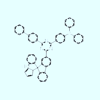 Oc1ccccc1C1(C2C=CC=C2)c2ccccc2-c2ccc(-c3nc(-c4ccc(B(c5ccccc5)c5ccccc5)cc4)nc(-c4ccc(-c5ccccc5)cc4)n3)cc21